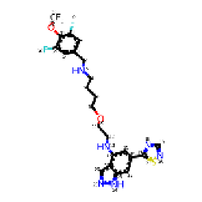 Fc1cc(CNCCCCOCCNc2cc(-c3ncns3)cc3[nH]ncc23)cc(F)c1OC(F)(F)F